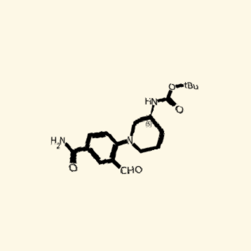 CC(C)(C)OC(=O)N[C@H]1CCCN(c2ccc(C(N)=O)cc2C=O)C1